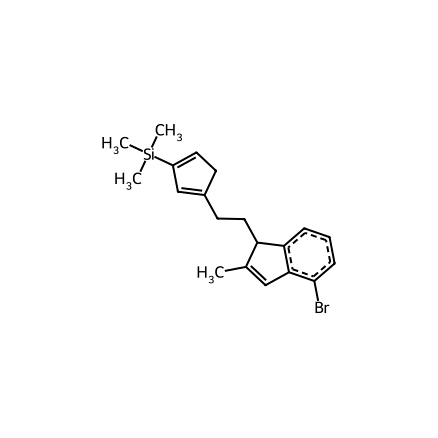 CC1=Cc2c(Br)cccc2C1CCC1=CC([Si](C)(C)C)=CC1